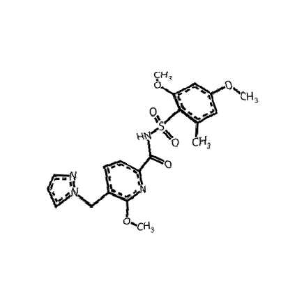 COc1cc(C)c(S(=O)(=O)NC(=O)c2ccc(Cn3cccn3)c(OC)n2)c(OC)c1